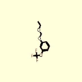 CCOCOc1cccc(OC(F)(F)F)c1